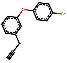 C#C[CH]c1cccc(Oc2ccc(Br)cc2)c1